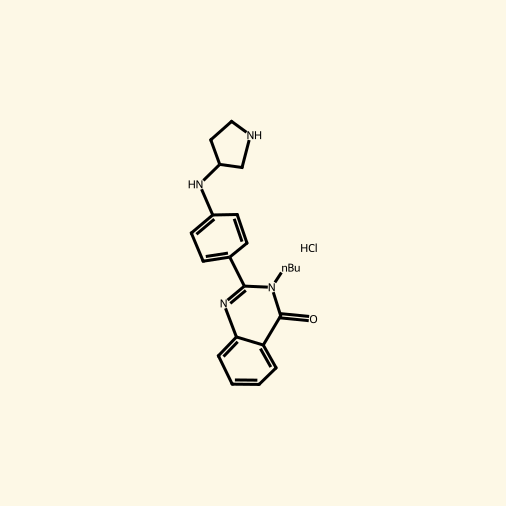 CCCCn1c(-c2ccc(NC3CCNC3)cc2)nc2ccccc2c1=O.Cl